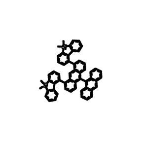 C[Si]1(C)c2ccccc2-c2c(-c3cccc4c(-c5c6ccccc6cc6ccccc56)c5cccc(-c6cccc7c6-c6ccccc6[Si]7(C)C)c5cc34)cccc21